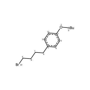 CCCCOc1ccc(CCCCBr)cc1